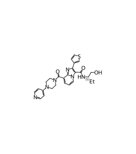 CC[C@@H](CO)NC(=O)c1c(-c2ccsc2)nc2c(C(=O)N3CCN(c4ccncc4)CC3)cccn12